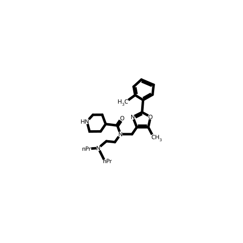 CCCN(CCC)CCN(Cc1nc(-c2ccccc2C)oc1C)C(=O)C1CCNCC1